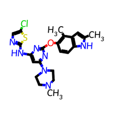 Cc1cc2c(C)c(Oc3nc(Nc4ncc(Cl)s4)cc(N4CCN(C)CC4)n3)ccc2[nH]1